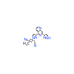 C[C@]1(C#N)C[C@](CC#N)(n2ccc(-c3nc(-c4cc[nH]n4)cc4ncccc34)n2)C1